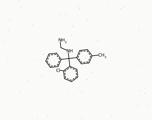 Cc1ccc(C(NCN)(c2ccccc2)c2ccccc2Cl)cc1